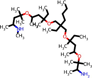 CCCCC(CC)(COC(C)(CC)CC(C)OC(C)(C)CC(C)NC)COC(C)(CC)CC(C)OC(C)(C)C(C)N